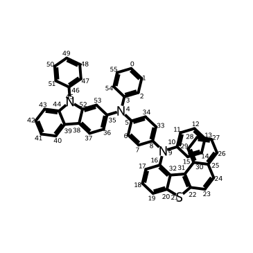 c1ccc(N(c2ccc(N(c3ccccc3)c3cccc4sc5ccc6ccccc6c5c34)cc2)c2ccc3c4ccccc4n(-c4ccccc4)c3c2)cc1